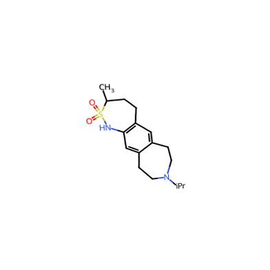 CC(C)N1CCc2cc3c(cc2CC1)NS(=O)(=O)C(C)CC3